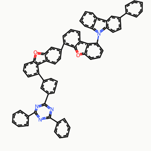 c1ccc(-c2ccc3c(c2)c2ccccc2n3-c2cccc3oc4c(-c5ccc6c(c5)oc5cccc(-c7cccc(-c8nc(-c9ccccc9)nc(-c9ccccc9)n8)c7)c56)cccc4c23)cc1